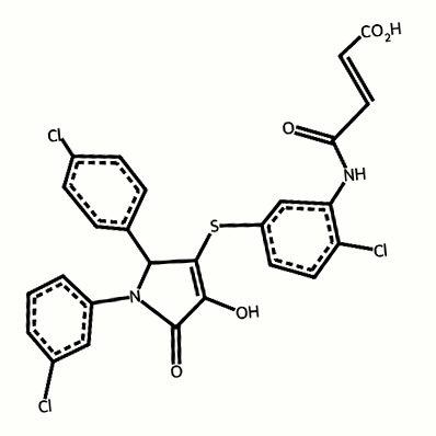 O=C(O)/C=C/C(=O)Nc1cc(SC2=C(O)C(=O)N(c3cccc(Cl)c3)C2c2ccc(Cl)cc2)ccc1Cl